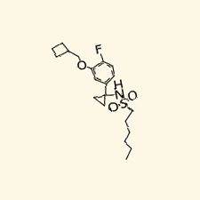 CCCCCCS(=O)(=O)NC1(c2ccc(F)c(OCC3CCC3)c2)CC1